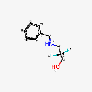 OCC(F)(F)CNCc1ccccc1